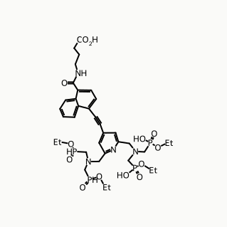 CCO[PH](=O)CN(Cc1cc(C#Cc2ccc(C(=O)NCCCC(=O)O)c3ccccc23)cc(CN(CP(=O)(O)OCC)CP(=O)(O)OCC)n1)C[PH](=O)OCC